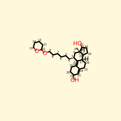 C[C@]12C[C@H](CCCCCCOC3CCCCO3)C3=C4CCC(O)C=C4CC[C@H]3[C@@H]1CC[C@@H]2O